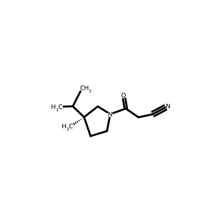 CC(C)[C@]1(C)CCN(C(=O)CC#N)C1